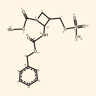 CC(C)(C)OC(=O)N1CC(COS(C)(=O)=O)C1NC(=O)OCc1ccccc1